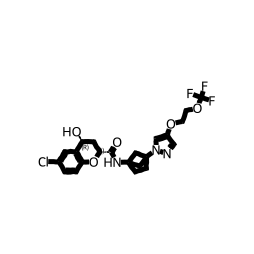 O=C(NC12CCC(n3cc(OCCOC(F)(F)F)cn3)(C1)C2)[C@H]1C[C@@H](O)c2cc(Cl)ccc2O1